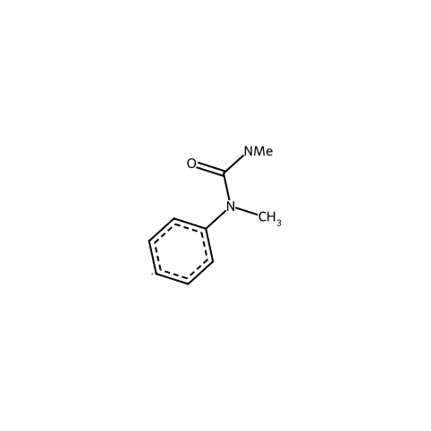 CNC(=O)N(C)c1cc[c]cc1